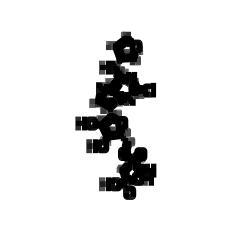 O=P(O)(O)CP(=O)(O)OC[C@H]1O[C@@H](c2cnc3c(N[C@@H]4CCOC4)nc(Cl)nn23)[C@H](O)[C@@H]1O